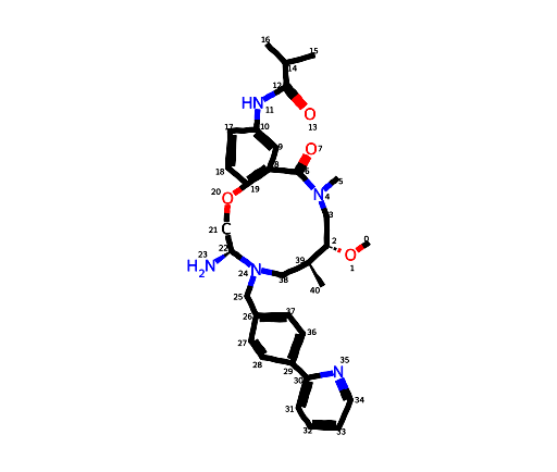 CO[C@H]1CN(C)C(=O)c2cc(NC(=O)C(C)C)ccc2OC[C@H](N)N(Cc2ccc(-c3ccccn3)cc2)C[C@@H]1C